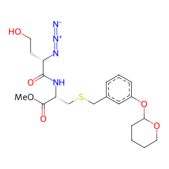 COC(=O)[C@@H](CSCc1cccc(OC2CCCCO2)c1)NC(=O)[C@H](CCO)N=[N+]=[N-]